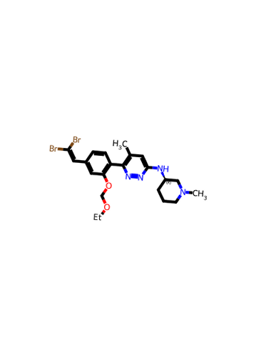 CCOCOc1cc(C=C(Br)Br)ccc1-c1nnc(N[C@@H]2CCCN(C)C2)cc1C